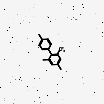 Cc1ccc(-c2c(C)cc(C)cc2C(F)(F)F)cc1